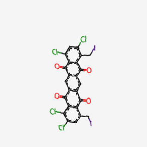 O=c1c2cc3c(=O)c4c(Cl)c(Cl)cc(CI)c4c(=O)c3cc2c(=O)c2c(CI)c(Cl)cc(Cl)c12